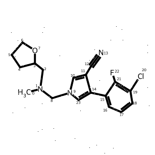 CN(CC1CCCO1)Cn1cc(C#N)c(-c2cccc(Cl)c2F)c1